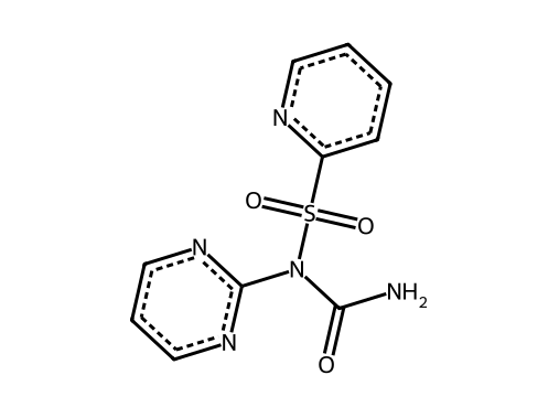 NC(=O)N(c1ncccn1)S(=O)(=O)c1ccccn1